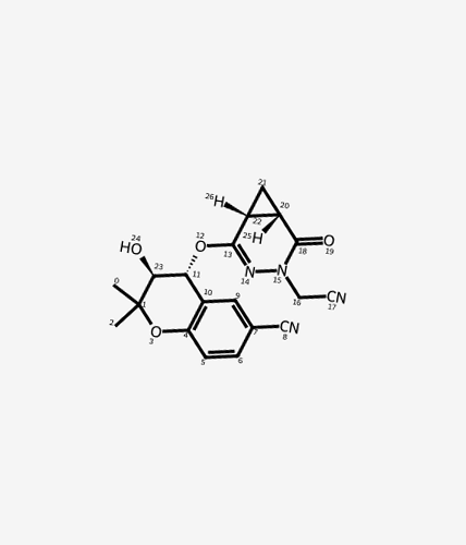 CC1(C)Oc2ccc(C#N)cc2[C@@H](OC2=NN(CC#N)C(=O)[C@H]3C[C@@H]23)[C@@H]1O